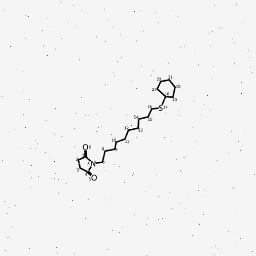 O=C1CCC(=O)N1CCCCCCCCCCSC1CCCCC1